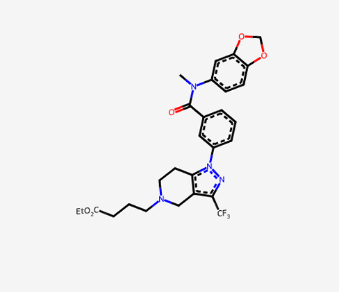 CCOC(=O)CCCN1CCc2c(c(C(F)(F)F)nn2-c2cccc(C(=O)N(C)c3ccc4c(c3)OCO4)c2)C1